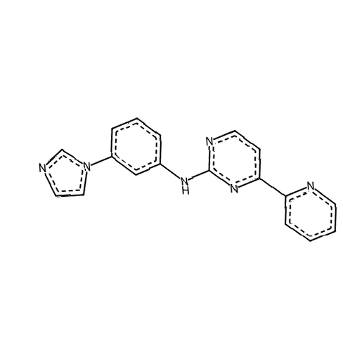 c1ccc(-c2ccnc(Nc3cccc(-n4ccnc4)c3)n2)nc1